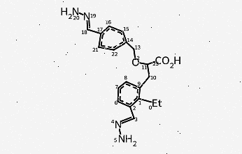 CCc1c(C=NN)cccc1CC(OCc1ccc(C=NN)cc1)C(=O)O